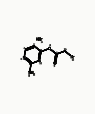 Br.Nc1nccc(OC(=O)CBr)n1